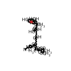 CC1=C(C)C(=O)C(C(C)(C)CC(=O)N(C)CCN(CCCCCC(=O)NCCCCC(NC(=O)CC[C@@H](C)[C@H]2CC[C@H]3[C@@H]4[C@@H](O)C[C@@H]5C[C@H](O)CC[C@]5(C)[C@H]4CC[C@]23C)C(=O)O)C(=O)Oc2ccc3nc(C#N)sc3c2)=C(C)C1=O